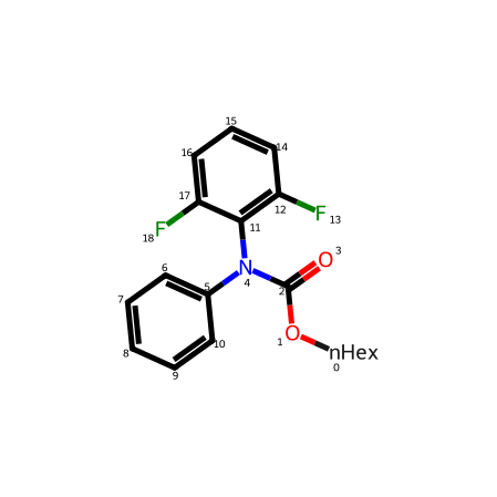 [CH2]CCCCCOC(=O)N(c1ccccc1)c1c(F)cccc1F